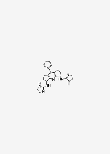 c1ccc(-c2c3c(nc4c2CC[C@H]4NC2=NCCN2)[C@@H](NC2=NCCN2)CC3)cc1